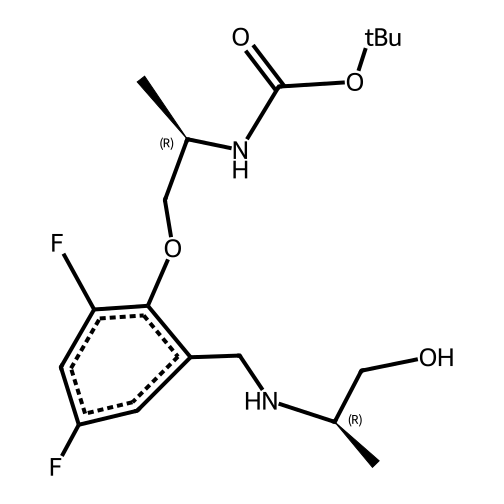 C[C@H](CO)NCc1cc(F)cc(F)c1OC[C@@H](C)NC(=O)OC(C)(C)C